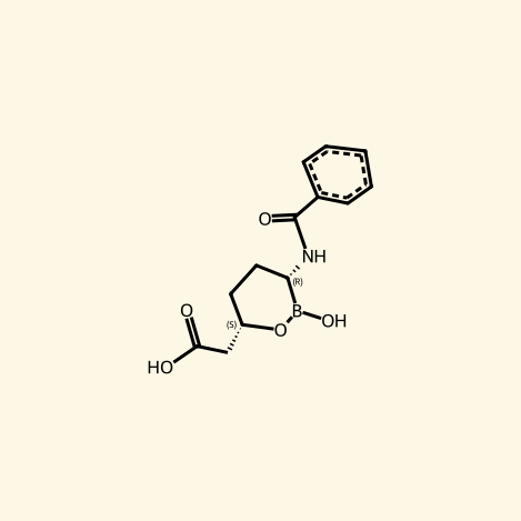 O=C(O)C[C@@H]1CC[C@H](NC(=O)c2ccccc2)B(O)O1